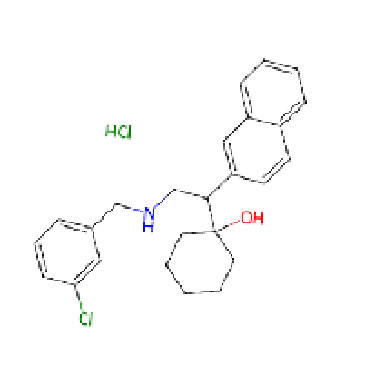 Cl.OC1(C(CNCc2cccc(Cl)c2)c2ccc3ccccc3c2)CCCCC1